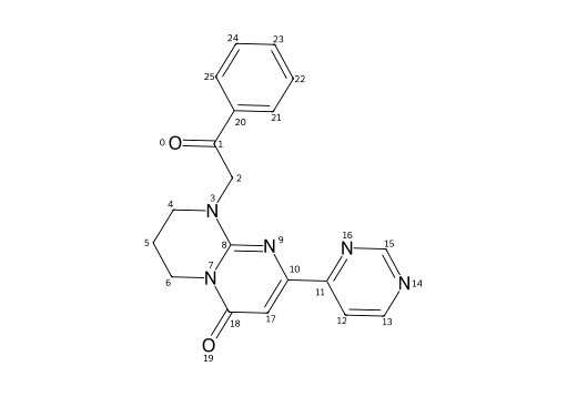 O=C(CN1CCCn2c1nc(-c1ccncn1)cc2=O)c1ccccc1